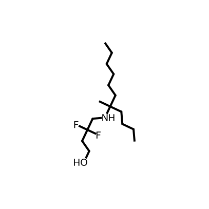 CCCCCCC(C)(CCCC)NCC(F)(F)CCO